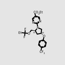 CCOC(=O)c1cnc(N2C[C@H](Oc3ccc(C(F)(F)F)cc3)C[C@H]2COC(F)(F)CC)nc1